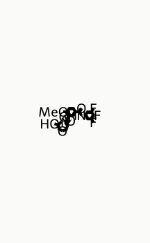 COc1ccc(C(=O)Nc2cc(F)c(F)c(F)c2)cc1S(=O)(=O)N1CCOCC(O)C1